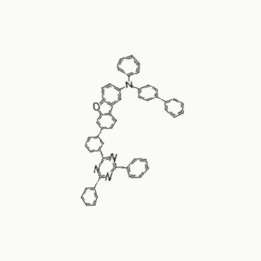 c1ccc(-c2ccc(N(c3ccccc3)c3ccc4oc5cc(-c6cccc(-c7nc(-c8ccccc8)nc(-c8ccccc8)n7)c6)ccc5c4c3)cc2)cc1